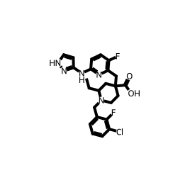 CCC1CC(Cc2nc(Nc3cc[nH]n3)ccc2F)(C(=O)O)CCN1Cc1cccc(Cl)c1F